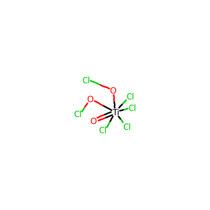 [O]=[Ti]([Cl])([Cl])([Cl])([Cl])([O]Cl)[O]Cl